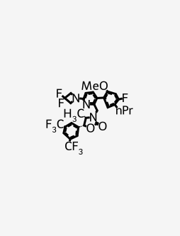 CCCc1cc(-c2ccc(N3CC(F)(F)C3)nc2CN2C(=O)O[C@H](c3cc(C(F)(F)F)cc(C(F)(F)F)c3)[C@@H]2C)c(OC)cc1F